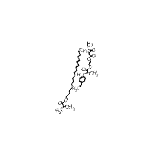 C=C(C)C(=O)OCCCCCCCCCCCCCCCCCC.C=C(C)C(=O)OCCOC(=O)CC(C)=O.C=Cc1ccccc1